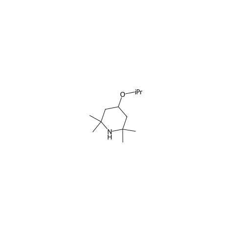 CC(C)OC1CC(C)(C)NC(C)(C)C1